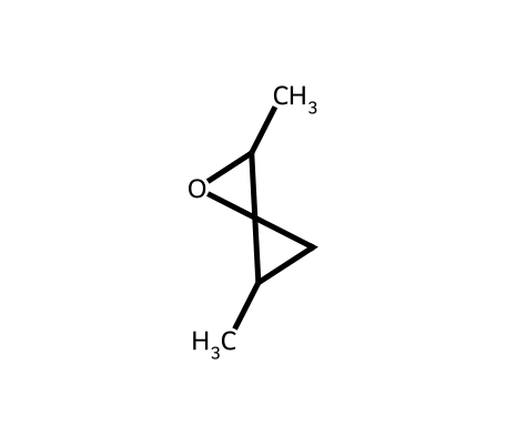 CC1CC12OC2C